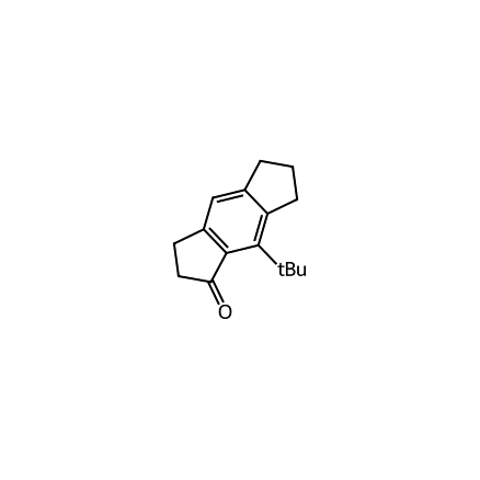 CC(C)(C)c1c2c(cc3c1C(=O)CC3)CCC2